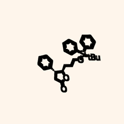 CC(C)(C)[Si](OCCC[C@H]1OC(=O)C[C@@H]1c1ccccc1)(c1ccccc1)c1ccccc1